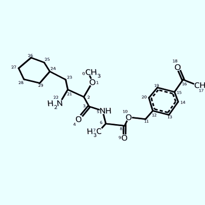 COC(C(=O)NC(C)C(=O)OCc1ccc(C(C)=O)cc1)C(N)CC1CCCCC1